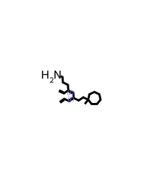 C=C/C=C(\C=C(/C=C)CCCN)CCC1(C)CCCCCC1